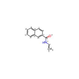 C=CNC(=O)c1ccc2ccccc2c1